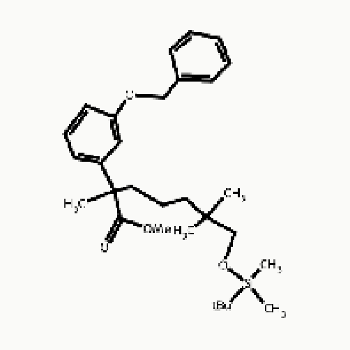 COC(=O)C(C)(CCCC(C)(C)CO[Si](C)(C)C(C)(C)C)c1cccc(OCc2ccccc2)c1